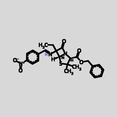 CCC1(/N=C/c2ccc([N+](=O)[O-])cc2)C(=O)N2[C@@H](C(=O)OCc3ccccc3)C(C)(C)S[C@@H]21